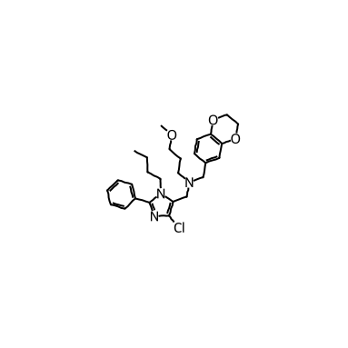 CCCCn1c(-c2ccccc2)nc(Cl)c1CN(CCCOC)Cc1ccc2c(c1)OCCO2